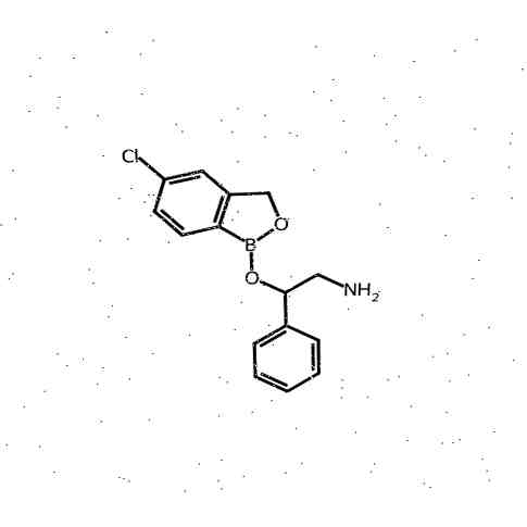 NCC(OB1OCc2cc(Cl)ccc21)c1ccccc1